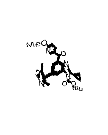 COc1ccc(C(=O)c2cc(-c3c(C)noc3C)cc3c2nc(C2CC2)n3C(=O)OC(C)(C)C)cn1